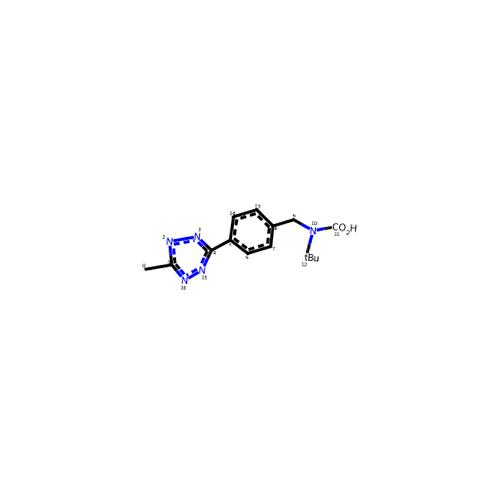 Cc1nnc(-c2ccc(CN(C(=O)O)C(C)(C)C)cc2)nn1